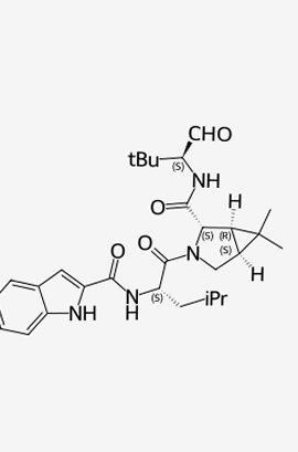 CC(C)C[C@H](NC(=O)c1cc2ccccc2[nH]1)C(=O)N1C[C@H]2[C@@H]([C@H]1C(=O)N[C@H](C=O)C(C)(C)C)C2(C)C